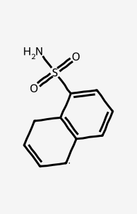 NS(=O)(=O)c1cccc2c1CC=C[CH]2